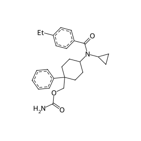 CCc1ccc(C(=O)N(C2CC2)C2CCC(COC(N)=O)(c3ccccc3)CC2)cc1